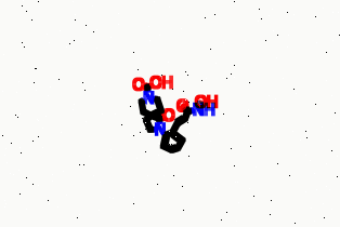 O=C(C=Cc1ccccc1N1CCC2(CCN(C(=O)O)CC2)C1=O)NO